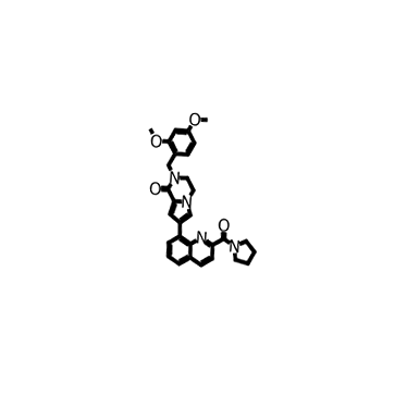 COc1ccc(CN2CCn3cc(-c4cccc5ccc(C(=O)N6CCCC6)nc45)cc3C2=O)c(OC)c1